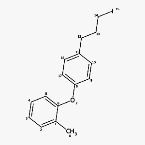 Cc1ccccc1Oc1ccc(CCCI)cc1